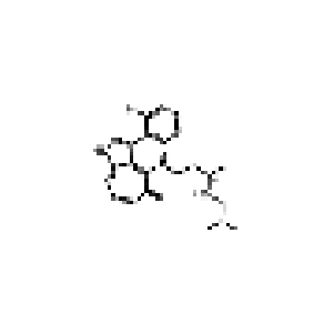 C=C1C=CN=c2[nH]cc(-c3ccccc3F)c2=C1C(=C)CC[C@@H](C)NCC(C)C